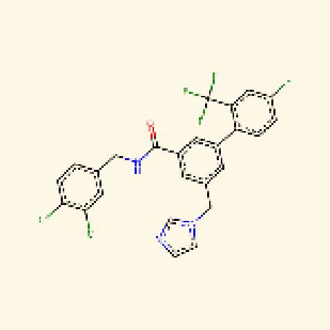 O=C(NCc1ccc(Cl)c(Cl)c1)c1cc(Cn2ccnc2)cc(-c2ccc(F)cc2C(F)(F)F)c1